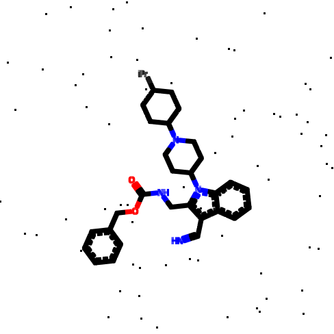 CC(C)C1CCC(N2CCC(n3c(CNC(=O)OCc4ccccc4)c(C=N)c4ccccc43)CC2)CC1